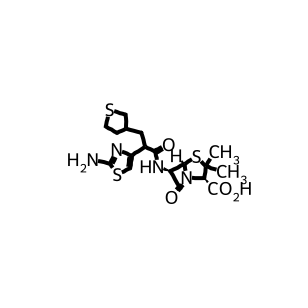 CC1(C)S[C@@H]2[C@H](NC(=O)C(CC3CCSC3)c3csc(N)n3)C(=O)N2[C@H]1C(=O)O